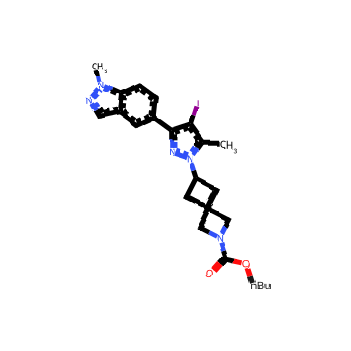 CCCCOC(=O)N1CC2(CC(n3nc(-c4ccc5c(cnn5C)c4)c(I)c3C)C2)C1